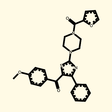 COc1ccc(C(=O)c2sc(N3CCN(C(=O)c4ccco4)CC3)nc2-c2ccccc2)cc1